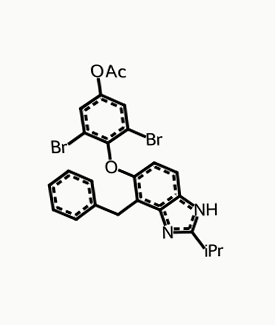 CC(=O)Oc1cc(Br)c(Oc2ccc3[nH]c(C(C)C)nc3c2Cc2ccccc2)c(Br)c1